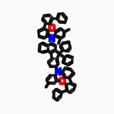 Cc1ccc(N(c2ccc3c(c2)C(c2ccccc2)(c2ccccc2)c2cc(N(c4ccc(C)cc4C)c4cccc5c4oc4c(-c6ccccc6)cccc45)c4ccccc4c2-3)c2cccc3c2oc2c(-c4ccccc4)cccc23)c(C)c1